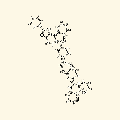 c1ccc(-c2nc3c(ccc4c(-c5ccc(-c6ccc7cc(-c8cc9cccnc9c9ncccc89)ccc7n6)cc5)nc5ccccc5c43)o2)cc1